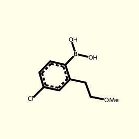 COCCc1cc(Cl)ccc1B(O)O